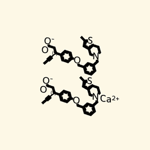 CC#C[C@@H](CC(=O)[O-])c1ccc(OCc2cccc(CN3CCc4sc(C)cc4C3)c2)cc1.CC#C[C@@H](CC(=O)[O-])c1ccc(OCc2cccc(CN3CCc4sc(C)cc4C3)c2)cc1.[Ca+2]